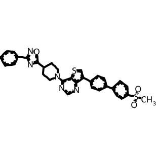 CS(=O)(=O)c1ccc(-c2ccc(-c3csc4c(N5CCC(c6nc(-c7ccccc7)no6)CC5)ncnc34)cc2)cc1